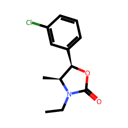 CCN1C(=O)O[C@H](c2cccc(Cl)c2)[C@@H]1C